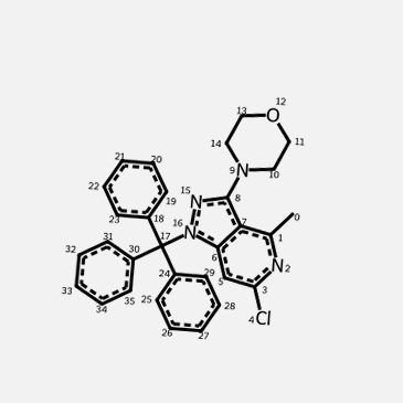 Cc1nc(Cl)cc2c1c(N1CCOCC1)nn2C(c1ccccc1)(c1ccccc1)c1ccccc1